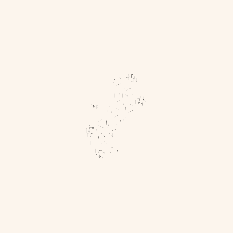 O=S(=O)([O-])c1cc(Nc2nc(-c3nnnn3-c3ccccc3)c(S)c(-c3nnnn3-c3ccccc3)n2)ccc1C=Cc1ccc(Nc2nc(-c3nnnn3-c3ccccc3)c(S)c(-c3nnnn3-c3ccccc3)n2)cc1S(=O)(=O)[O-].[Na+].[Na+]